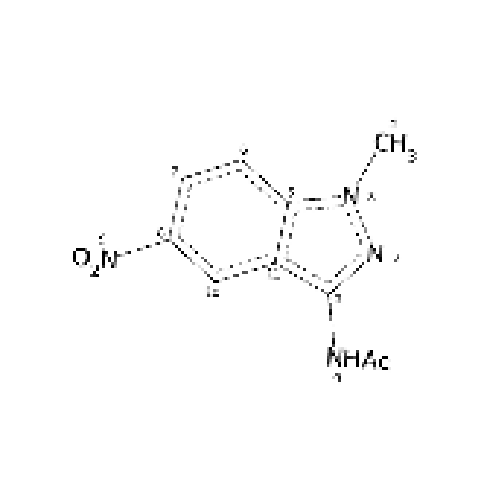 CC(=O)Nc1nn(C)c2ccc([N+](=O)[O-])cc12